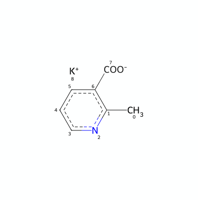 Cc1ncccc1C(=O)[O-].[K+]